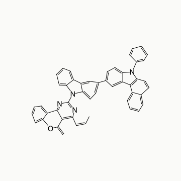 C=C1Oc2ccccc2-c2nc(-n3c4ccccc4c4cc(-c5ccc6c(c5)c5c7ccccc7ccc5n6-c5ccccc5)ccc43)nc(/C=C\C)c21